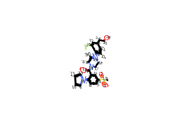 CS(=O)(=O)c1ccc(N2CCCC2)c(C(=O)N2CCN(c3ccc(CC=O)cc3F)CC2)c1